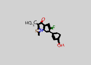 CC1Sc2c(C(=O)O)c(=O)c3cc(F)c(-c4ccc(CO)cc4)cc3n21